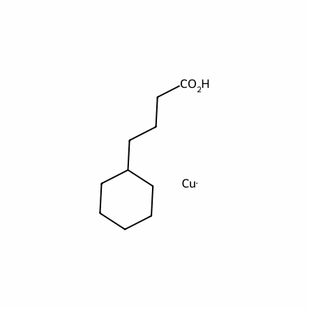 O=C(O)CCCC1CCCCC1.[Cu]